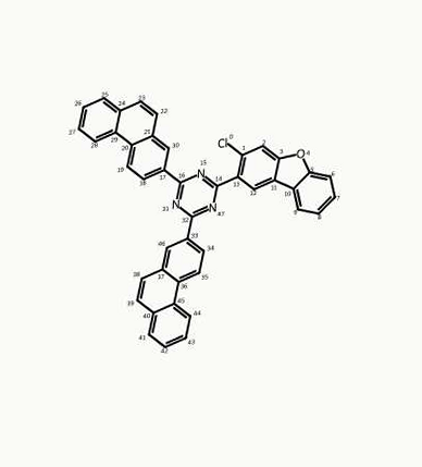 Clc1cc2oc3ccccc3c2cc1-c1nc(-c2ccc3c(ccc4ccccc43)c2)nc(-c2ccc3c(ccc4ccccc43)c2)n1